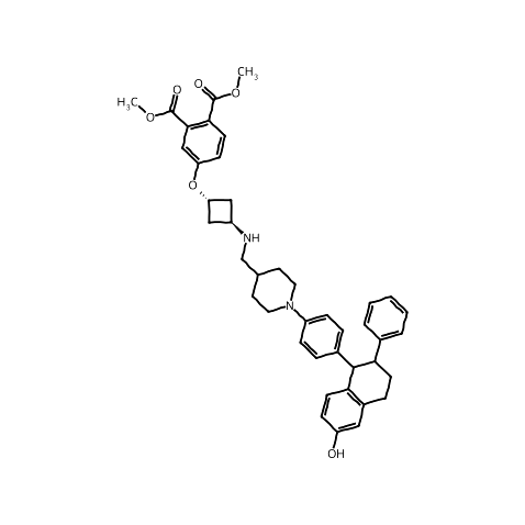 COC(=O)c1ccc(O[C@H]2C[C@H](NCC3CCN(c4ccc(C5c6ccc(O)cc6CCC5c5ccccc5)cc4)CC3)C2)cc1C(=O)OC